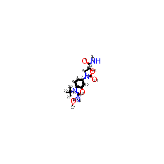 CNC(=O)[C@H]1CN(c2ccc3c(c2)o/c(=N/OC)n3C(C)(C)C)C(=O)O1